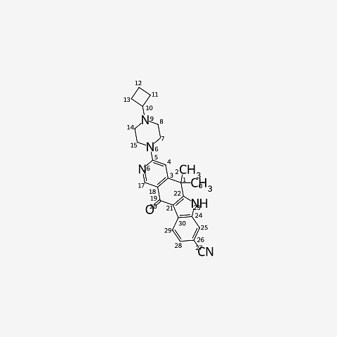 CC1(C)c2cc(N3CCN(C4CCC4)CC3)ncc2C(=O)c2c1[nH]c1cc(C#N)ccc21